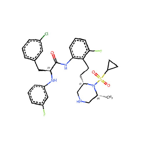 C[C@@H]1CNC[C@H](CCc2c(F)cccc2NC(=O)[C@H](Cc2cccc(Cl)c2)Nc2cccc(F)c2)N1S(=O)(=O)C1CC1